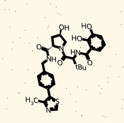 Cc1ncsc1-c1ccc(CNC(=O)[C@@H]2C[C@@H](O)CN2C(=O)C(NC(=O)c2cccc(O)c2O)C(C)(C)C)cc1